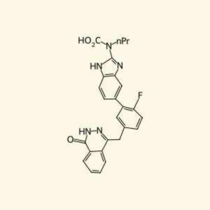 CCCN(C(=O)O)c1nc2cc(-c3cc(Cc4n[nH]c(=O)c5ccccc45)ccc3F)ccc2[nH]1